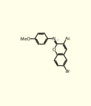 COc1ccc(/N=c2\oc3ccc(Br)cc3cc2C(C)=O)cc1